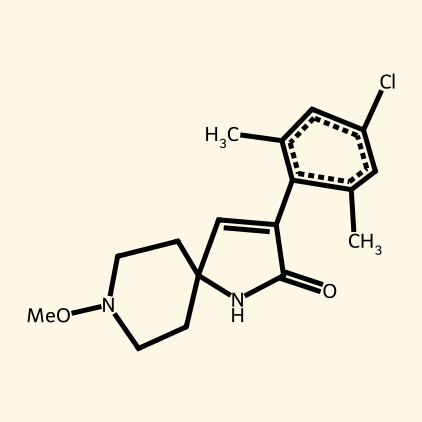 CON1CCC2(C=C(c3c(C)cc(Cl)cc3C)C(=O)N2)CC1